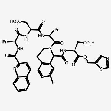 Cc1ccc2c(c1)C(C(=O)N[C@@H](CC(=O)O)C(=O)OCc1cncs1)N(C(=O)[C@@H](NC(=O)[C@H](CC(=O)O)NC(=O)[C@@H](NC(=O)c1ccc3ccccc3n1)C(C)C)C(C)C)CC2